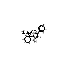 CC(C)(C)N(C(=O)O)C1(c2nc(-c3ccccc3)c[nH]2)CCCCC1